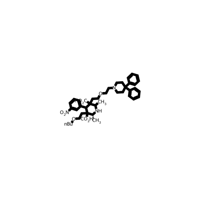 CCCCOCCC1(C(=O)O)C(c2cccc([N+](=O)[O-])c2)C(CCOCCN2CCC(c3ccccc3)(c3ccccc3)CC2)(C(=O)O)C(C)N[C@@H]1C